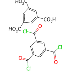 O=C(Cl)c1cc(C(=O)Cl)cc(C(=O)Cl)c1.O=C(O)c1cc(C(=O)O)cc(C(=O)O)c1